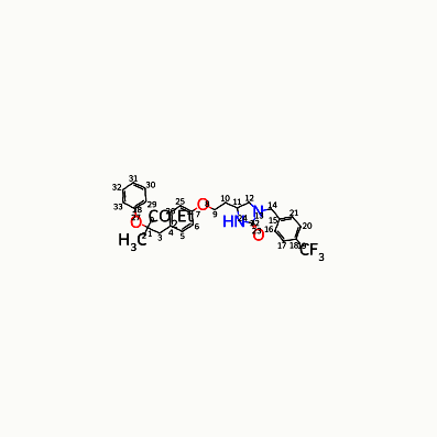 CCOC(=O)C(C)(Cc1ccc(OCCC2CN(Cc3ccc(C(F)(F)F)cc3)C(=O)N2)cc1)Oc1ccccc1